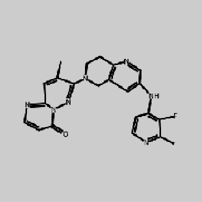 Cc1cc2nccc(=O)n2nc1N1CCc2ncc(Nc3ccnc(C)c3F)cc2C1